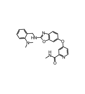 CNC(=O)c1cc(Oc2ccc3nc(NCc4ccccc4N(C)C)oc3c2)ccn1